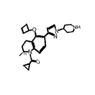 C[C@H]1CCc2c(ccc(-c3ccn(C4CCNCC4)n3)c2OC2CCC2)N1C(=O)C1CC1